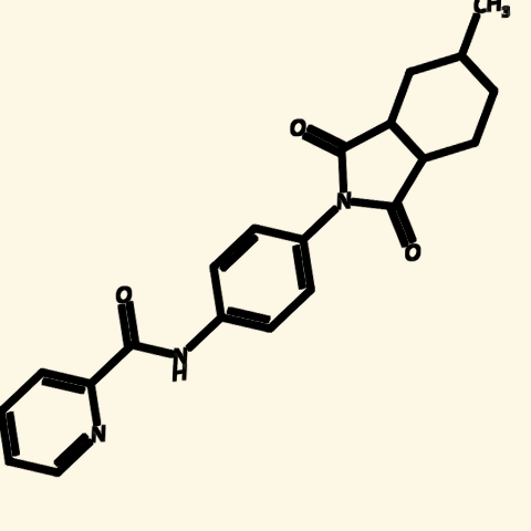 CC1CCC2C(=O)N(c3ccc(NC(=O)c4ccccn4)cc3)C(=O)C2C1